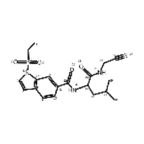 CCS(=O)(=O)n1ccc2ccc(C(=O)NC(CC(C)C)C(=O)NCC#N)cc21